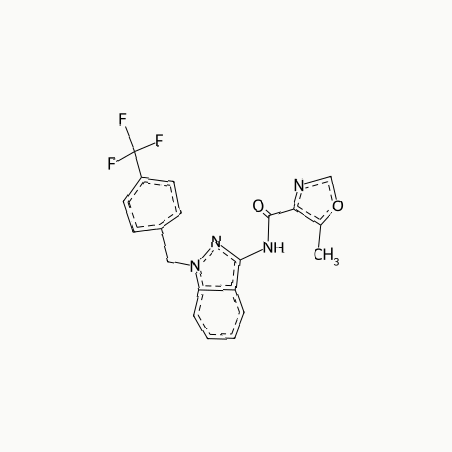 Cc1ocnc1C(=O)Nc1nn(Cc2ccc(C(F)(F)F)cc2)c2ccccc12